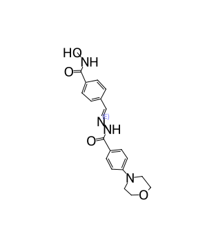 O=C(NO)c1ccc(/C=N/NC(=O)c2ccc(N3CCOCC3)cc2)cc1